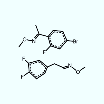 CON=C(C)c1ccc(Br)cc1F.CON=CCc1ccc(F)c(F)c1